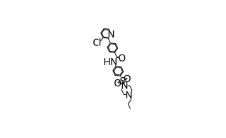 CCCN1CCN(S(=O)(=O)c2ccc(NC(=O)c3ccc(-c4ncccc4Cl)cc3)cc2)CC1